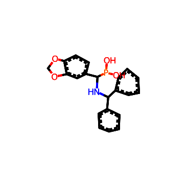 OP(O)C(NC(c1ccccc1)c1ccccc1)c1ccc2c(c1)OCO2